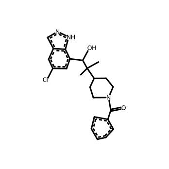 CC(C)(C1CCN(C(=O)c2ccccc2)CC1)C(O)c1cc(Cl)cc2cn[nH]c12